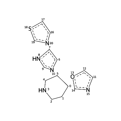 C1CCNCC1.c1c[nH]cn1.c1cocn1.c1cscn1